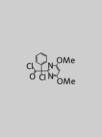 COc1cc(OC)nc(C(Cl)(C(=O)Cl)c2ccccc2)n1